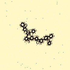 c1ccc(-c2nc(-c3ccc4c(c3)oc3ccccc34)cc(-c3cccc4sc5cc(-c6ccc7c(c6)oc6ccc(-c8ccc9c%10ccccc%10n(-c%10ccccc%10)c9c8)cc67)ccc5c34)n2)cc1